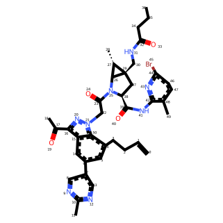 C=CCCc1cc(-c2cnc(C)nc2)cc2c(C(C)=O)nn(CC(=O)N3C4[C@H](C)[C@]4(CNC(=O)CCC)C[C@H]3C(=O)Nc3nc(Br)ccc3C)c12